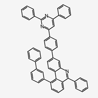 c1ccc(-c2cccc(-c3cccc4c(-c5ccccc5)nc5cc(-c6ccc(-c7cc(-c8ccccc8)nc(-c8ccccc8)n7)cc6)ccc5c34)c2)cc1